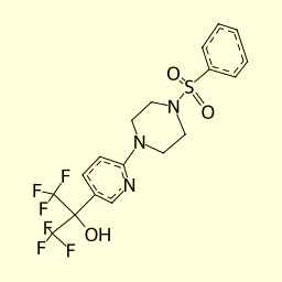 O=S(=O)(c1ccccc1)N1CCN(c2ccc(C(O)(C(F)(F)F)C(F)(F)F)cn2)CC1